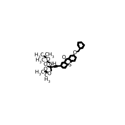 CC(C)(C)OC(=O)NC1(C#Cc2ccc3sc4ccc(OCc5ccccc5)cc4c(=O)c3c2)COC(C)(C)OC1